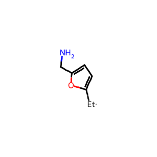 C[CH]c1ccc(CN)o1